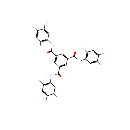 O=C(NC1=C(Cl)C=C(Cl)C(Cl)C1)c1cc(C(=O)Nc2cc(Cl)c(Cl)cc2Cl)cc(C(=O)Nc2cc(Cl)c(Cl)cc2Cl)c1